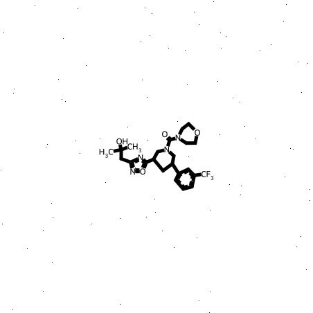 CC(C)(O)Cc1noc(C2CC(c3cccc(C(F)(F)F)c3)CN(C(=O)N3CCOCC3)C2)n1